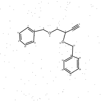 C#CC(COCc1ccccc1)OCc1ccccc1